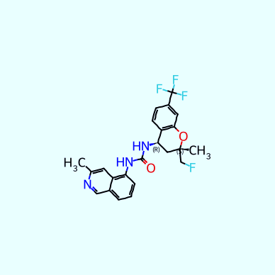 Cc1cc2c(NC(=O)N[C@@H]3C[C@@](C)(CF)Oc4cc(C(F)(F)F)ccc43)cccc2cn1